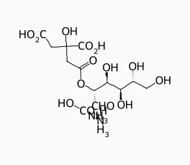 N.N.O=C(O)O.O=C[C@H](OC(=O)CC(O)(CC(=O)O)C(=O)O)[C@@H](O)[C@H](O)[C@H](O)CO